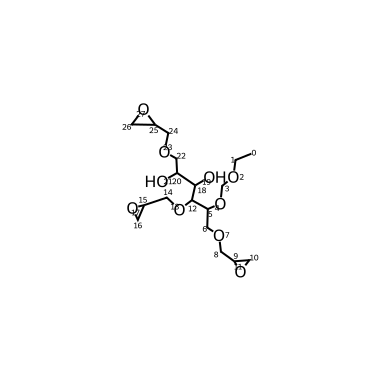 CCOCOC(COCC1CO1)C(OCC1CO1)C(O)C(O)COCC1CO1